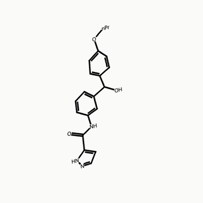 CCCOc1ccc(C(O)c2cccc(NC(=O)c3ccn[nH]3)c2)cc1